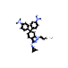 CN(C)c1ccc(C2(c3ccc(N(C)C)cc3)C=Cc3c(NC4CC4)nn(C=CC=O)c3C2)cc1